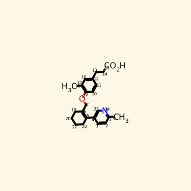 Cc1ccc(C2=C(COc3ccc(CCC(=O)O)cc3C)CCCC2)cn1